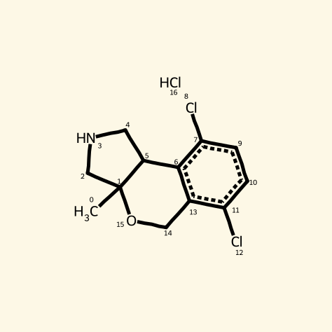 CC12CNCC1c1c(Cl)ccc(Cl)c1CO2.Cl